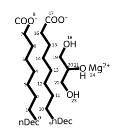 CCCCCCCCCCCCCCCCCC(=O)[O-].CCCCCCCCCCCCCCCCCC(=O)[O-].OCC(O)CO.[Mg+2]